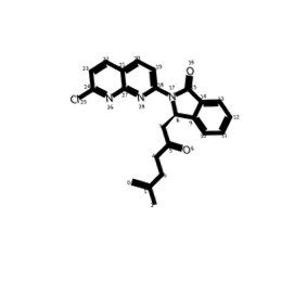 C=C(C)CCC(=O)C[C@@H]1c2ccccc2C(=O)N1c1ccc2ccc(Cl)nc2n1